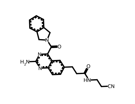 N#CCCNC(=O)CCc1ccc2nc(N)nc(C(=O)N3Cc4ccccc4C3)c2c1